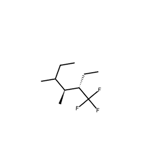 CCC(C)[C@H](C)[C@H](CC)C(F)(F)F